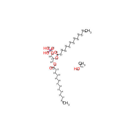 CCCCCCCCCCCCCC(=O)OCC(COP(=O)(O)O)OC(=O)CCCCCCCCCCCCC.CCO